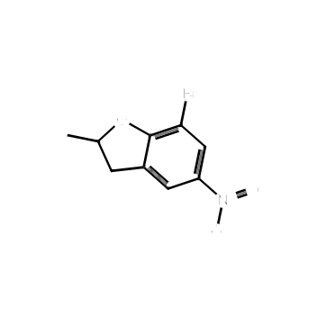 CC1Cc2cc([N+](=O)[O-])cc(Br)c2O1